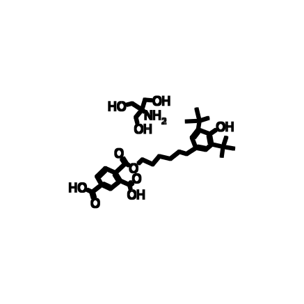 CC(C)(C)c1cc(CCCCCCOC(=O)c2ccc(C(=O)O)cc2C(=O)O)cc(C(C)(C)C)c1O.NC(CO)(CO)CO